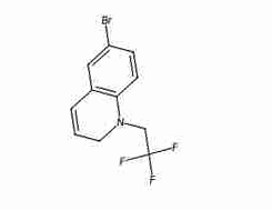 FC(F)(F)CN1CC=Cc2cc(Br)ccc21